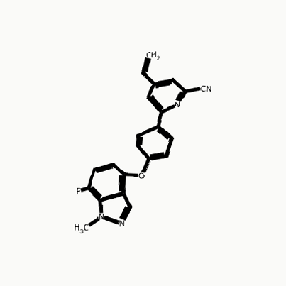 C=Cc1cc(C#N)nc(-c2ccc(Oc3ccc(F)c4c3cnn4C)cc2)c1